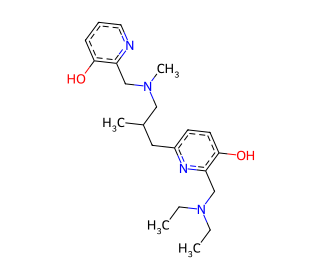 CCN(CC)Cc1nc(CC(C)CN(C)Cc2ncccc2O)ccc1O